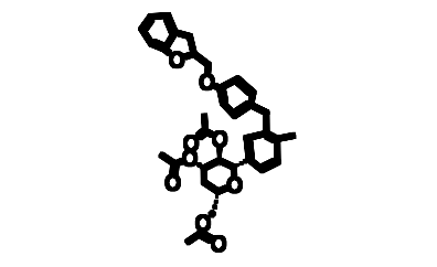 CC(=O)OC[C@@H]1C[C@H](OC(C)=O)[C@@H](OC(C)=O)[C@H](c2ccc(C)c(Cc3ccc(OCC4Cc5ccccc5O4)cc3)c2)O1